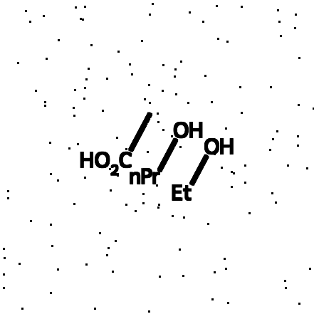 CC(=O)O.CCCO.CCO